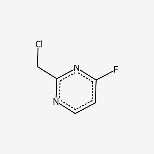 Fc1ccnc(CCl)n1